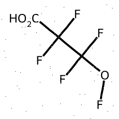 O=C(O)C(F)(F)C(F)(F)OF